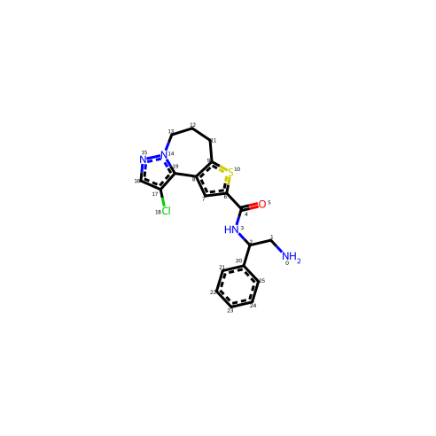 NCC(NC(=O)c1cc2c(s1)CCCn1ncc(Cl)c1-2)c1ccccc1